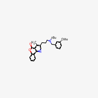 CCCCN(CCCc1cnc2c(c1C)c(=O)oc1ccccc12)Cc1cccc(OC)c1